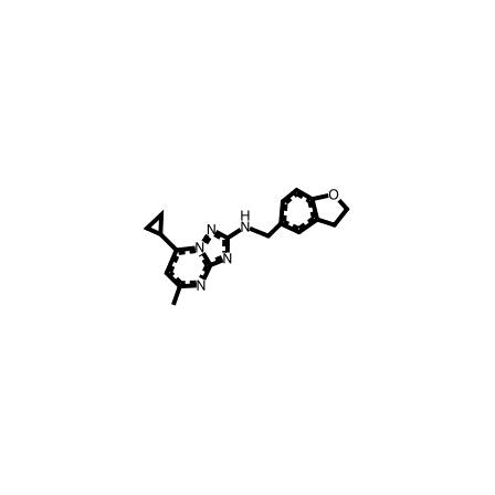 Cc1cc(C2CC2)n2nc(NCc3ccc4c(c3)CCO4)nc2n1